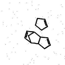 C1=CC2C3C=CC(C3)C2C1.C1=CCCC1